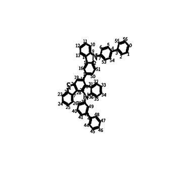 c1ccc(-c2ccc(-n3c4ccccc4c4cc(-c5cc6sc7ccccc7c6c6c5c5ccccc5n6-c5cccc(-c6ccccc6)c5)ccc43)cc2)cc1